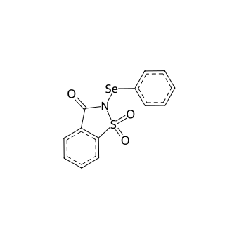 O=C1c2ccccc2S(=O)(=O)N1[Se]c1ccccc1